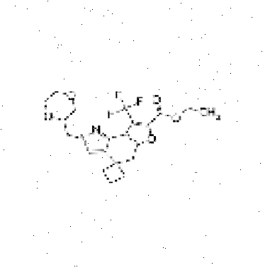 CCOC(=O)c1oc2c(c1C(F)(F)F)-c1nn(CC3COCCO3)cc1C1(CCC1)C2